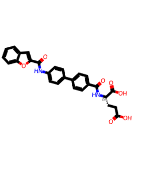 O=C(O)CC[C@H](NC(=O)c1ccc(-c2ccc(NC(=O)c3cc4ccccc4o3)cc2)cc1)C(=O)O